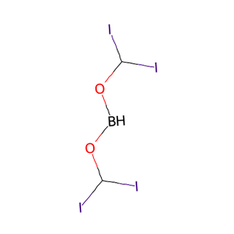 IC(I)OBOC(I)I